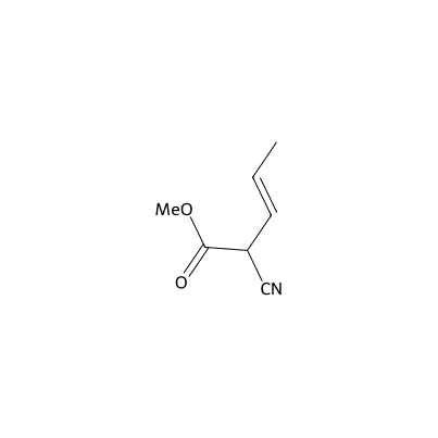 CC=CC(C#N)C(=O)OC